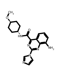 CO[C@H]1CC[C@H](NC(=O)c2nc(-n3ccnc3)nc3c(N)cccc23)CC1